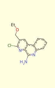 CCOCc1cc2c(nc1Cl)c(N)nc1ccccc12